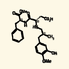 COC(=O)[C@H](Cc1ccccc1)NC(=O)[C@H](CC(=O)O)NC[C@@H](C)Cc1ccc(OC)c(O)c1